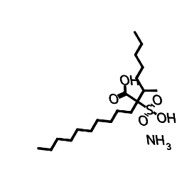 CCCCCCCCCCC(C(=O)O)(C(C)CCCCC)S(=O)(=O)O.N